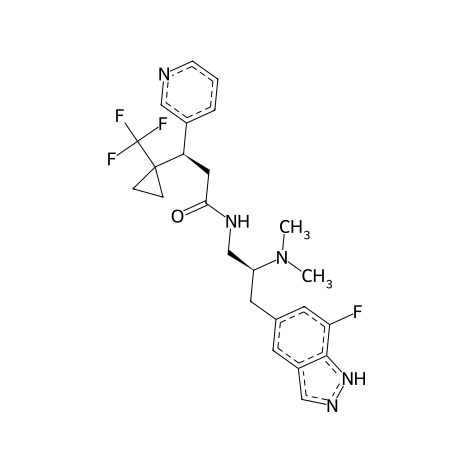 CN(C)[C@H](CNC(=O)C[C@H](c1cccnc1)C1(C(F)(F)F)CC1)Cc1cc(F)c2[nH]ncc2c1